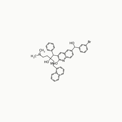 COc1nc2ccc(C(O)c3cccc(Br)c3)cc2cc1C(c1ccccc1)C(O)(CCc1cccc2ccccc12)CCN(C)C